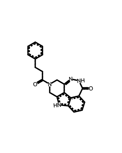 O=C1NN=C2CN(C(=O)CCc3ccccc3)Cc3[nH]c4cccc1c4c32